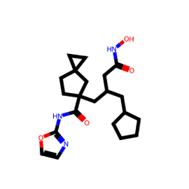 O=C(CC(CC1CCCC1)CC1(C(=O)Nc2ncco2)CCC2(CC2)C1)NO